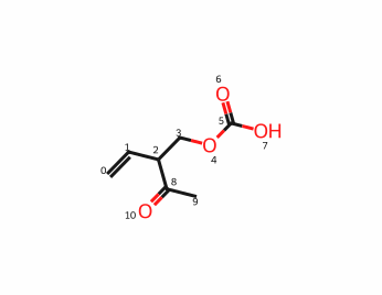 C=CC(COC(=O)O)C(C)=O